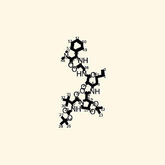 C=CCCC(NC(=O)C1C2OC(C)(C)OC2CN1C(=O)[C@@H](NC(=O)OC(C)(C)C)C(C)(C)C)C(=O)C(=O)NCC(=O)N[C@H](C(=O)N(C)C)c1ccccc1